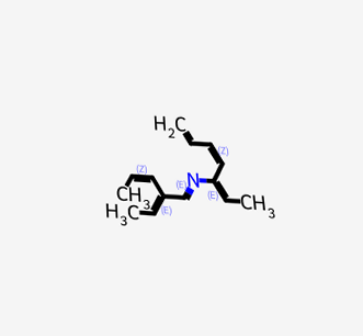 C=C\C=C/C(=C\C)/N=C/C(/C=C\C)=C/C